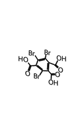 O=C(O)c1c(Br)c(Br)c(C(=O)O)c(C(=O)O)c1Br